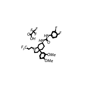 COc1ccc(C23CCC(NC(=O)Nc4ccc(F)c(F)c4)CC2N(CCC(F)(F)F)CC3)cc1OC.O=C(O)C(F)(F)F